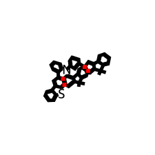 CC1(C)c2ccccc2-c2cc(-c3cccc(N(c4ccccc4-c4ccc5sc6ccccc6c5c4)c4cccc5c4-c4ccccc4C5(C)C)c3)ccc21